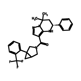 CC1(C)C[C@H](c2ccccc2)Nc2c(C(=O)N3CC4CC4(c4ccccc4C(F)(F)F)C3)cnn21